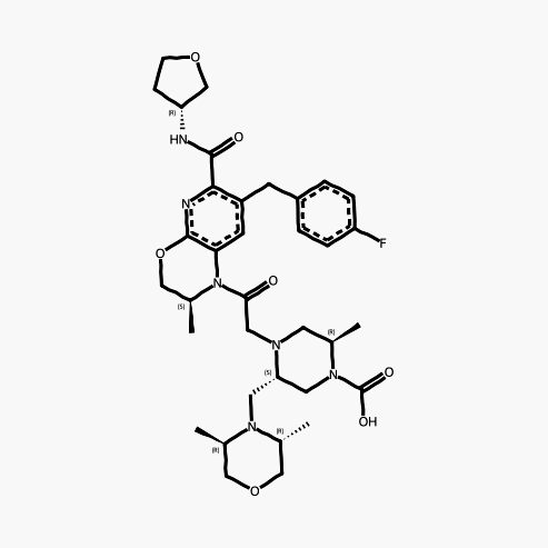 C[C@@H]1CN(CC(=O)N2c3cc(Cc4ccc(F)cc4)c(C(=O)N[C@@H]4CCOC4)nc3OC[C@@H]2C)[C@@H](CN2[C@H](C)COC[C@H]2C)CN1C(=O)O